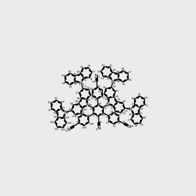 N#Cc1ccc(-c2c(C#N)c(-c3ccc(C#N)cc3)c(-n3c4ccc(-n5c6ccccc6c6ccccc65)cc4c4cc(-n5c6ccccc6c6ccccc65)ccc43)c(-c3ccc(C#N)cc3)c2-n2c3ccc(-n4c5ccccc5c5ccccc54)cc3c3cc(-n4c5ccccc5c5ccccc54)ccc32)cc1